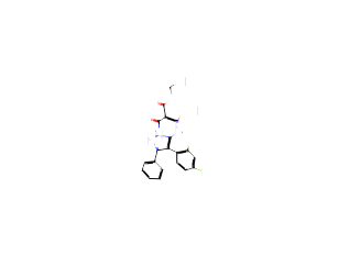 CCOC(=O)C1=C(O)[N]c2c(-c3ccc(F)cc3F)c(-c3ccccc3)nn2C1=O